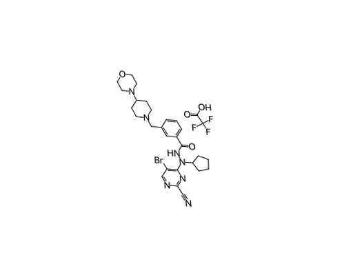 N#Cc1ncc(Br)c(N(NC(=O)c2cccc(CN3CCC(N4CCOCC4)CC3)c2)C2CCCC2)n1.O=C(O)C(F)(F)F